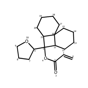 C=CC(=O)OC1(C2CCCO2)C2CCCCC23CCCCC31